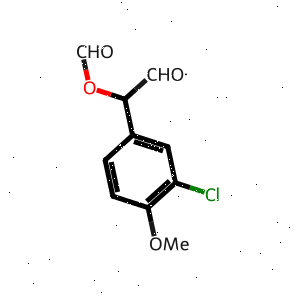 COc1ccc(C([C]=O)OC=O)cc1Cl